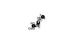 COc1ccc([N+](=O)[O-])cc1CN1CC2(CCN(OC(=O)Nc3cc(F)ccc3F)CC2)OC1=O